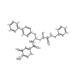 C[C@H](CC(Cc1ccc(-c2ccccc2)cc1)NC(=O)c1cc(=O)c(O)co1)C(=O)OCc1ccccc1